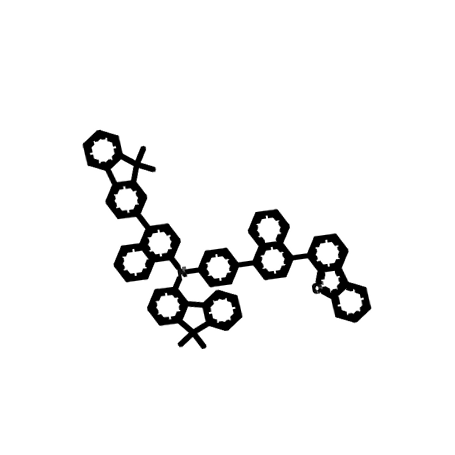 CC1(C)c2ccccc2-c2ccc(-c3ccc(N(c4ccc(-c5ccc(-c6cccc7c6oc6ccccc67)c6ccccc56)cc4)c4cccc5c4-c4ccccc4C5(C)C)c4ccccc34)cc21